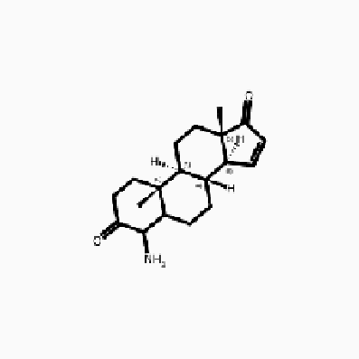 C[C@]12CCC(=O)C(N)C1CC[C@@H]1[C@@H]2CC[C@]2(C)C(=O)C=C[C@@H]12